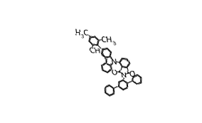 Cc1cc(C)c(-c2ccc3c(c2)c2ccccc2n3-c2cccc3c2C(=O)N(c2cc(-c4ccccc4)ccc2-c2ccccc2)C3=O)c(C)c1